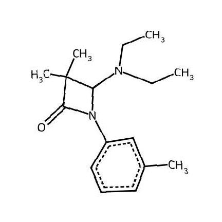 CCN(CC)C1N(c2cccc(C)c2)C(=O)C1(C)C